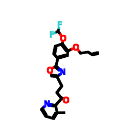 C=CCCOc1cc(-c2nc(CCC(=O)c3ncccc3C)co2)ccc1OC(F)F